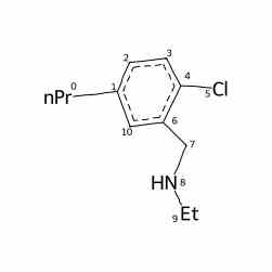 CCCc1ccc(Cl)c(CNCC)c1